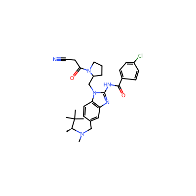 C[C@H](N(C)Cc1ccc2c(c1)nc(NC(=O)c1ccc(Cl)cc1)n2CC1CCCN1C(=O)CC#N)C(C)(C)C